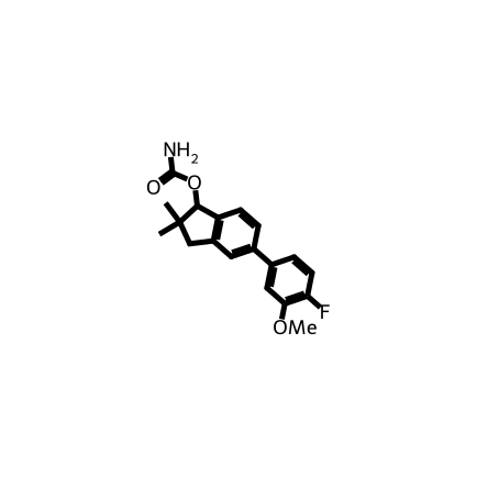 COc1cc(-c2ccc3c(c2)CC(C)(C)C3OC(N)=O)ccc1F